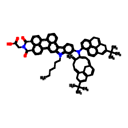 C=C1C/C=C2/CC(C(C)(C)C)=CC3=C2C/C(=C\C=C/1N(c1ccc2c4c5cccc6c7ccc8c9c(ccc(c(cc4n(CCCCCC)c2c1)c65)c97)C(=O)N(CC(=O)O)C8=O)c1ccc2c4c5c(ccc14)C=C(C(C)(C)C)CC5=CC2)C=C3